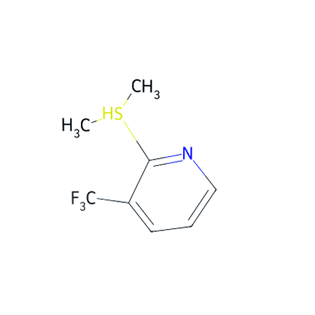 C[SH](C)c1ncccc1C(F)(F)F